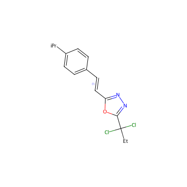 CCC(Cl)(Cl)c1nnc(/C=C/c2ccc(C(C)C)cc2)o1